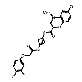 CSN1CC(C(=O)NC23CC(NC(=O)COc4ccc(Cl)c(F)c4)(C2)C3)Oc2ccc(Cl)cc21